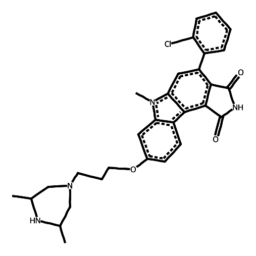 CC1CN(CCCOc2ccc3c4c5c(c(-c6ccccc6Cl)cc4n(C)c3c2)C(=O)NC5=O)CC(C)N1